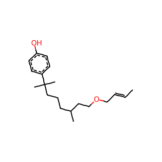 C/C=C/COCCC(C)CCCC(C)(C)c1ccc(O)cc1